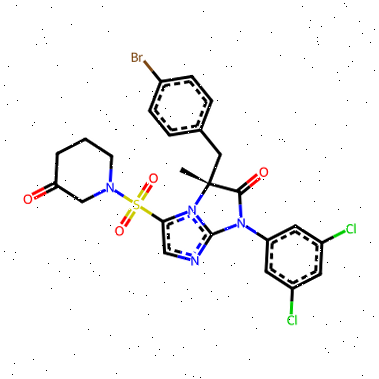 C[C@@]1(Cc2ccc(Br)cc2)C(=O)N(c2cc(Cl)cc(Cl)c2)c2ncc(S(=O)(=O)N3CCCC(=O)C3)n21